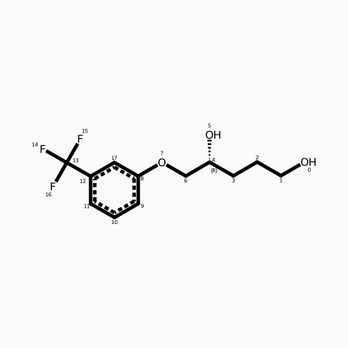 OCCC[C@@H](O)COc1cccc(C(F)(F)F)c1